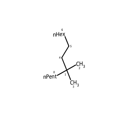 [CH2]CCCCC(C)(C)CCCCCCCC